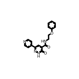 O=C(NCCOc1ccccc1)c1cc(-c2ccncc2)n[nH]c1=O